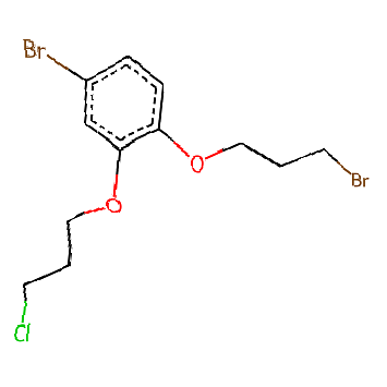 ClCCCOc1cc(Br)ccc1OCCCBr